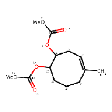 COC(=O)OC1CC=C(C)CCCC1OC(=O)OC